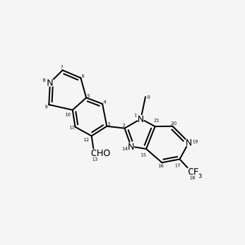 Cn1c(-c2cc3ccncc3cc2C=O)nc2cc(C(F)(F)F)ncc21